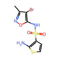 Cc1noc(NS(=O)(=O)c2ccsc2N)c1Br